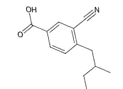 CCC(C)Cc1ccc(C(=O)O)cc1C#N